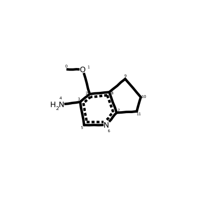 COc1c(N)cnc2c1CCC2